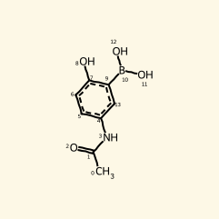 CC(=O)Nc1ccc(O)c(B(O)O)c1